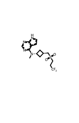 CN(c1ncnc2[nH]ccc12)[C@H]1C[C@H](CS(=O)(=O)CCC(F)(F)F)C1